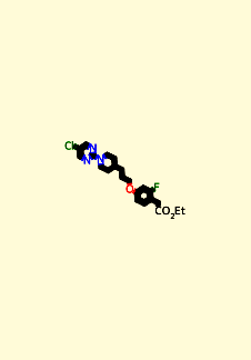 CCOC(=O)Cc1ccc(OCCCC2CCN(c3ncc(Cl)cn3)CC2)cc1F